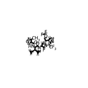 Cc1nonc1C(=O)N[C@H](C(=O)Nc1cn(C(COC(F)F)c2cnnn2CC(F)(F)F)nc1F)C(C1CC1)C1CC1